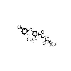 CC(C)(C)OC(=O)NCC(=O)N1C[C@H](Oc2cc(Cl)ncn2)C[C@H]1C(=O)O